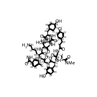 CNC(=O)SC[C@@H](NC(=O)CCc1ccc(Cl)cc1)C(=O)N[C@@H](Cc1ccc(O)cc1)C(=O)N[C@H](Cc1ccc(C(N)=O)cc1)C(=O)N[C@@H](CCCCN)C(=O)NC(C(=O)N[C@@H](C)C(=O)N[C@H](Cc1ccc(O)cc1)C(N)=O)C(C)O